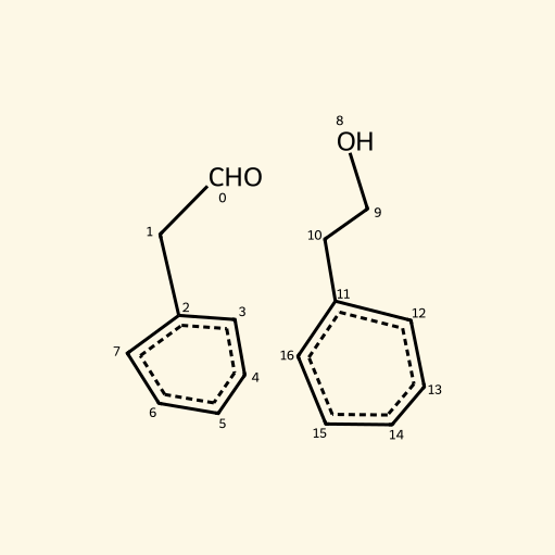 O=CCc1ccccc1.OCCc1ccccc1